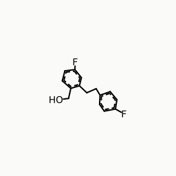 OCc1ccc(F)cc1CCc1ccc(F)cc1